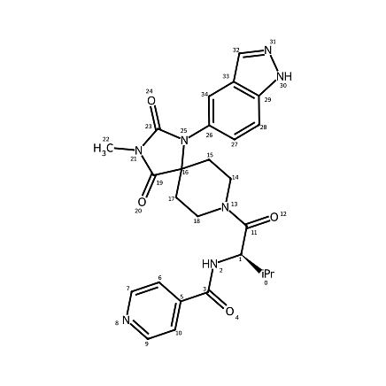 CC(C)[C@@H](NC(=O)c1ccncc1)C(=O)N1CCC2(CC1)C(=O)N(C)C(=O)N2c1ccc2[nH]ncc2c1